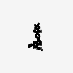 Cc1nnc(NC(=O)C2CCC(n3cnc4c(N)nc(Cl)nc43)CC2)s1